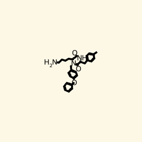 Cc1ccc(CC2NC(=O)C(CCCCN)N(Cc3ccc(Oc4ccccc4)cc3)C2=O)cc1